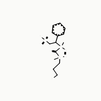 NS(=O)(=O)CC(c1ccccc1)[N+]1(Cl)N=N[N+](F)(CCCF)C1=O